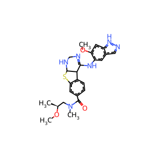 COc1cc2[nH]ncc2cc1NC1=NCNC2Sc3cc(C(=O)N(C)C[C@H](C)OC)ccc3C12